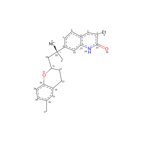 CCc1cc2ccc([C@@](C)(C#N)CC3CCc4cc(C)ccc4O3)cc2[nH]c1=O